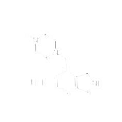 CN1CCN(Cc2cccc3c2CNC3)CC1.Cl